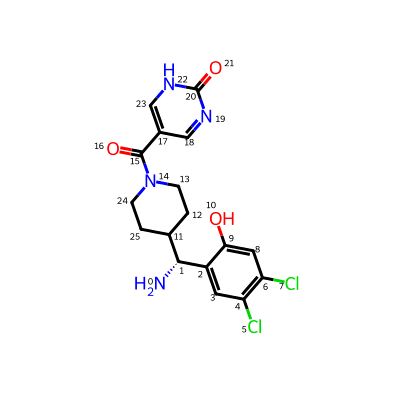 N[C@@H](c1cc(Cl)c(Cl)cc1O)C1CCN(C(=O)c2cnc(=O)[nH]c2)CC1